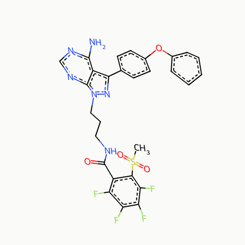 CS(=O)(=O)c1c(F)c(F)c(F)c(F)c1C(=O)NCCCn1nc(-c2ccc(Oc3ccccc3)cc2)c2c(N)ncnc21